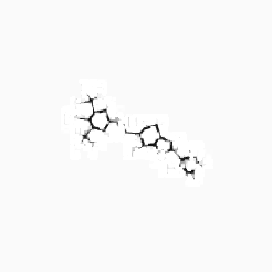 Fc1c(CNc2cc(C(F)(F)F)c(Br)c(C(F)(F)F)c2)ccc2cc(-c3nnn[nH]3)oc12